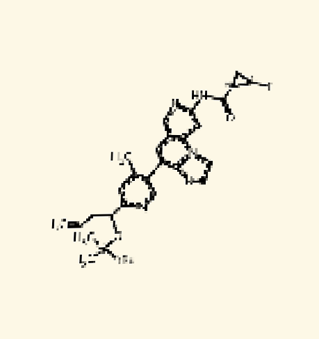 C=CCC(O[Si](C)(C)C(C)(C)C)c1cc(C)c(-c2cc3cnc(NC(=O)[C@H]4C[C@H]4F)cc3n3ccnc23)cn1